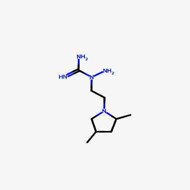 CC1CC(C)N(CCN(N)C(=N)N)C1